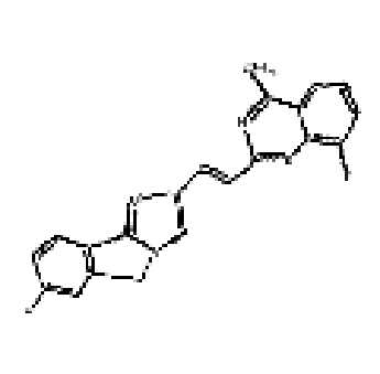 Cc1nc(/C=C/c2cn3c(n2)-c2ccc(F)cc2C3)nc2c(F)cccc12